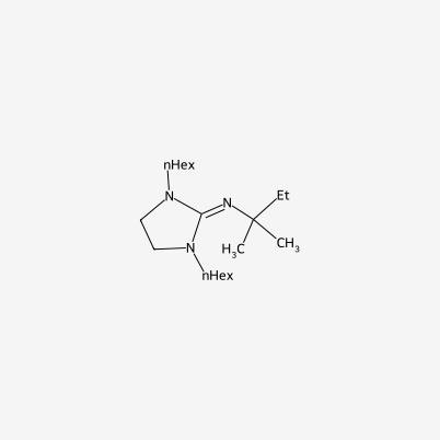 CCCCCCN1CCN(CCCCCC)C1=NC(C)(C)CC